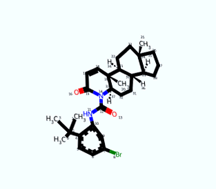 CC(C)(C)c1ccc(Br)cc1NC(=O)N1C(=O)C=C[C@]2(C)[C@H]3CC[C@]4(C)CCC[C@H]4[C@@H]3CC[C@@H]12